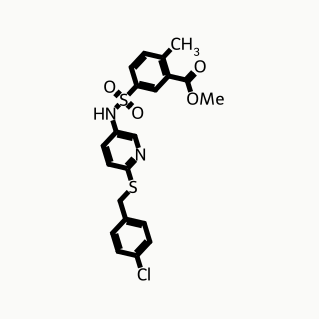 COC(=O)c1cc(S(=O)(=O)Nc2ccc(SCc3ccc(Cl)cc3)nc2)ccc1C